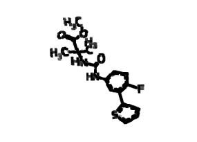 COC(=O)C(C)(C)NC(=O)Nc1ccc(F)c(-c2cccs2)c1